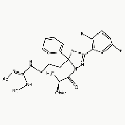 CO[C@@H](C)C(=O)N1N=C(c2cc(F)ccc2F)SC1(CCCN/C(=N/C(C)=O)NC#N)c1ccccc1